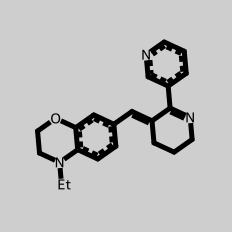 CCN1CCOc2cc(C=C3CCCN=C3c3cccnc3)ccc21